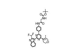 C[C@H]1COCCN1c1cc(-c2ccc(NC(=O)CNC(=O)OC(C)(C)C)cc2)nc(-n2c(C(F)F)nc3ccccc32)n1